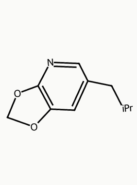 CC(C)Cc1cnc2c(c1)OCO2